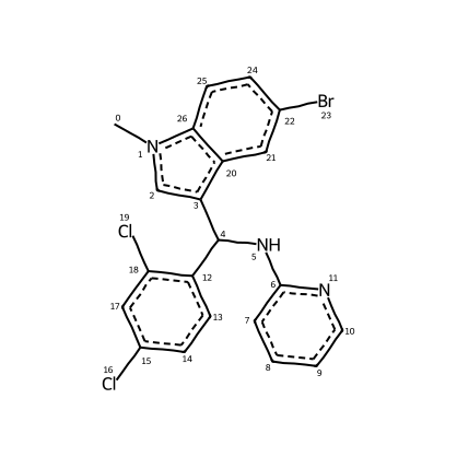 Cn1cc(C(Nc2ccccn2)c2ccc(Cl)cc2Cl)c2cc(Br)ccc21